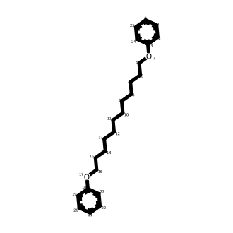 c1ccc(OCCCCCCCCCCCCOc2ccccc2)cc1